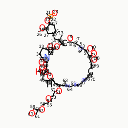 CO[C@@H]1/C(C)=C/[C@@H](C)C(=O)C[C@@H]([C@H](C)C[C@@H]2CC[C@@H](OP(C)(C)=O)[C@H](OC)C2)OC(=O)[C@@H]2CCCCN2C(=O)C(=O)[C@]2(O)O[C@@H](CC[C@H]2C)CC(OCCOCCOC2COC2)/C(C)=C/C=C/C=C/[C@@H](C)C[C@@H](C)C(=O)[C@@H]1OC